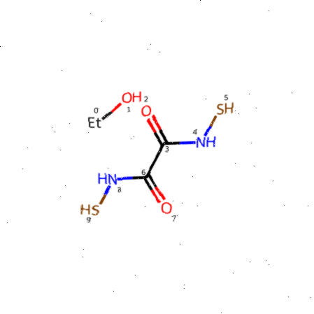 CCO.O=C(NS)C(=O)NS